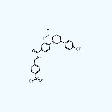 CC[S+]([O-])c1ccc(CNC(=O)c2ccc(N3CC(c4ccc(C(F)(F)F)cc4)CC[C@H]3C(F)F)cc2)cc1